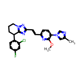 COc1nc(C=Cc2nc3n(n2)CCCC3c2ccc(F)cc2Cl)ccc1-n1cnc(C)c1